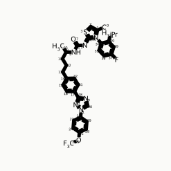 Cc1cs/c(=N\C(=O)NC(C)CCCc2ccc(-c3ncn(-c4ccc(OC(F)(F)F)cc4)n3)cc2)n1-c1ccc(F)cc1C(C)C